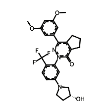 COc1cc(OC)cc(-c2nn(-c3cc(N4CC[C@@H](O)C4)ccc3C(F)(F)F)c(=O)c3c2CCC3)c1